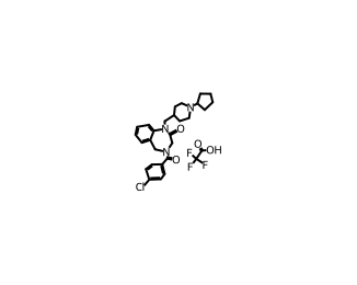 O=C(O)C(F)(F)F.O=C(c1ccc(Cl)cc1)N1CC(=O)N(CC2CCN(C3CCCC3)CC2)c2ccccc2C1